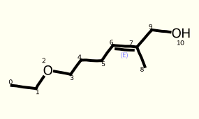 CCOCCC/C=C(\C)CO